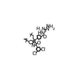 CC(C)(C)CCC(c1ccc(C(=O)NC/C(N)=N/N)cc1)N1C(=O)C(c2cc(Cl)cc(Cl)c2)=NC12CCC(C1(C)CC1)CC2